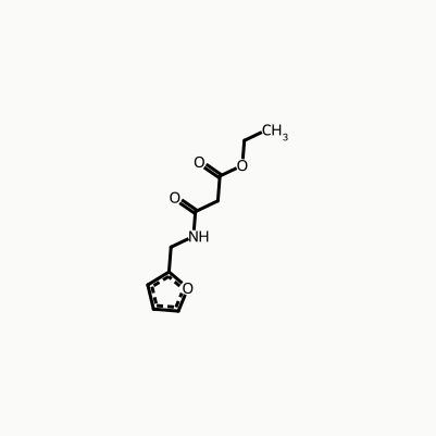 CCOC(=O)CC(=O)NCc1ccco1